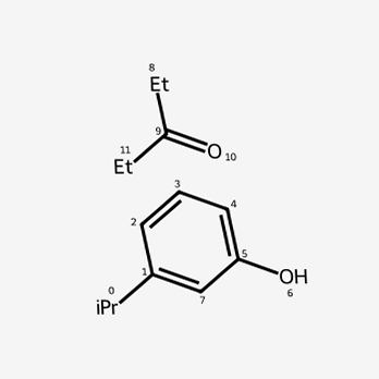 CC(C)c1cccc(O)c1.CCC(=O)CC